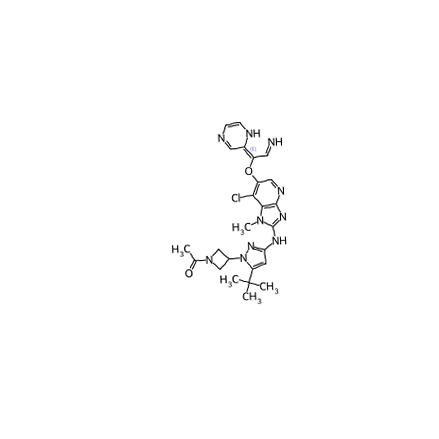 CC(=O)N1CC(n2nc(Nc3nc4ncc(O/C(C=N)=C5\C=NC=CN5)c(Cl)c4n3C)cc2C(C)(C)C)C1